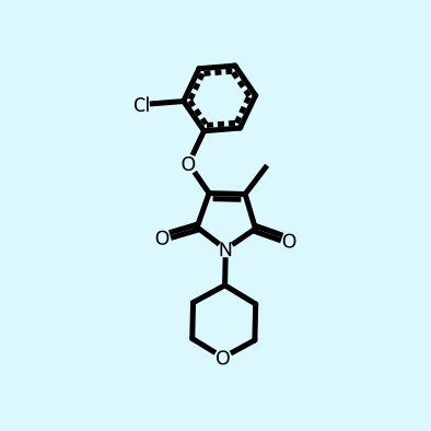 CC1=C(Oc2ccccc2Cl)C(=O)N(C2CCOCC2)C1=O